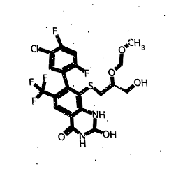 COCO[C@@H](CO)CSc1c2c(cc(C(F)(F)F)c1-c1cc(Cl)c(F)cc1F)C(=O)NC(O)N2